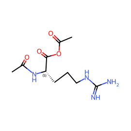 CC(=O)N[C@@H](CCCNC(=N)N)C(=O)OC(C)=O